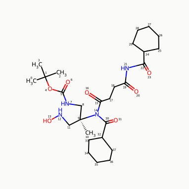 CC(C)(C)OC(=O)NC[C@](C)(CNO)N(C(=O)CCC(=O)NC(=O)C1CCCCC1)C(=O)C1CCCCC1